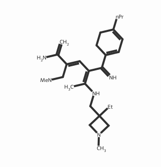 C=C(N)/C(=C/C(C(=N)C1=CC=C(CCC)CC1)=C(\C)NCC1(CC)CN(C)C1)CNC